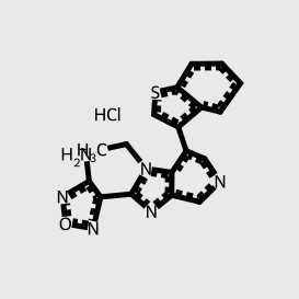 CCn1c(-c2nonc2N)nc2cncc(-c3csc4ccccc34)c21.Cl